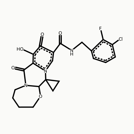 O=C(NCc1cccc(Cl)c1F)c1cn2c(c(O)c1=O)C(=O)N1CCCCOC1C21CC1